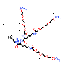 C#CCNC(=O)C(CCCCNC(=O)COCCOCCOCCON)NC(=O)C(CCCCNC(=O)COCCOCCOCCON)NC(=O)COCCOCCOCCON